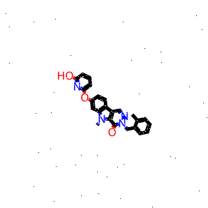 Cc1ccccc1Cn1ncc2c3ccc(Oc4cccc(O)n4)cc3n(C)c2c1=O